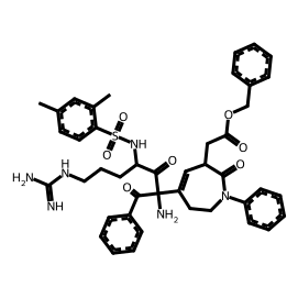 Cc1ccc(S(=O)(=O)NC(CCCNC(=N)N)C(=O)C(N)(C(=O)c2ccccc2)C2=CC(CC(=O)OCc3ccccc3)C(=O)N(c3ccccc3)CC2)c(C)c1